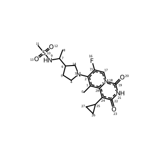 Cc1c(N2CCC(C(C)NS(C)(=O)=O)C2)c(F)cn2c(=O)[nH]c(=O)c(C3CC3)c12